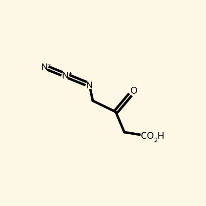 [N-]=[N+]=NCC(=O)CC(=O)O